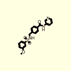 COc1cccc(S(=O)(=O)NCc2ccc(C(=O)Nc3cccnc3)cc2)c1